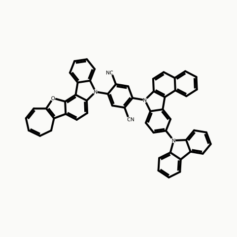 N#Cc1cc(-n2c3ccccc3c3c4oc5c(c4ccc32)CC=CC=C5)c(C#N)cc1-n1c2ccc(-n3c4ccccc4c4ccccc43)cc2c2c3ccccc3ccc21